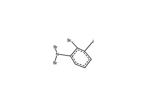 Brc1c(I)cccc1N(Br)Br